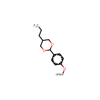 CCCCCCOc1ccc(C2OCC(CCC(F)(F)F)CO2)cc1